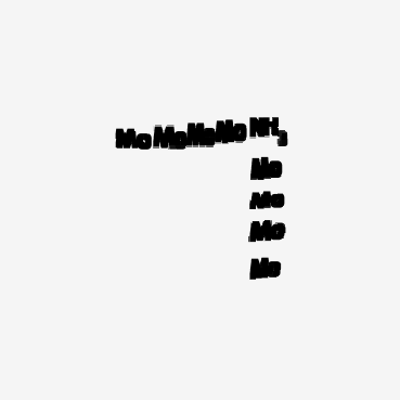 N.[Mo].[Mo].[Mo].[Mo].[Mo].[Mo].[Mo].[Mo]